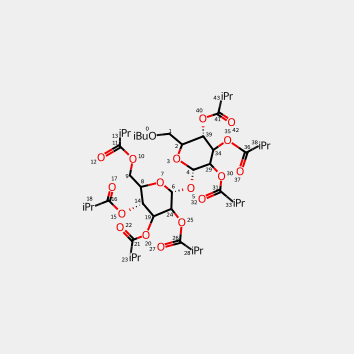 CC(C)COCC1O[C@@H](O[C@H]2OC(COC(=O)C(C)C)[C@@H](OC(=O)C(C)C)C(OC(=O)C(C)C)C2OC(=O)C(C)C)C(OC(=O)C(C)C)C(OC(=O)C(C)C)[C@H]1OC(=O)C(C)C